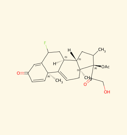 CC(=O)O[C@]1(C(=O)CO)C(C)C[C@H]2[C@@H]3CC(F)C4=CC(=O)C=C[C@]4(C)C3=CC[C@@]21C